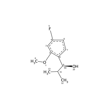 COc1cc(F)ccc1[C@@H](O)C(C)C